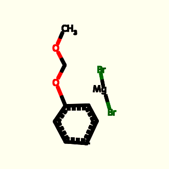 COCOc1cc[c]cc1.[Br][Mg][Br]